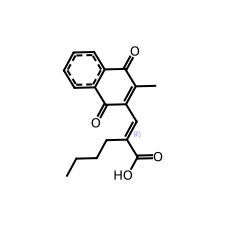 CCCC/C(=C\C1=C(C)C(=O)c2ccccc2C1=O)C(=O)O